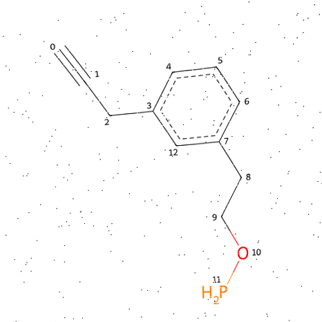 C#CCc1cccc(CCOP)c1